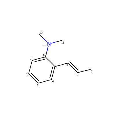 CC=Cc1ccccc1N(C)C